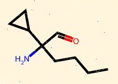 CCCCC(N)(C=O)C1CC1